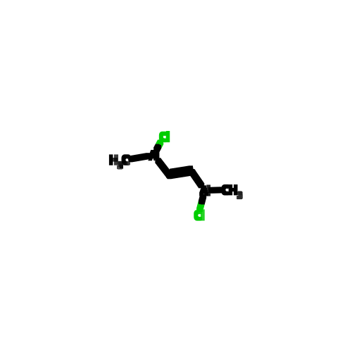 [CH3][Al]([Cl])[CH]=[CH][Al]([CH3])[Cl]